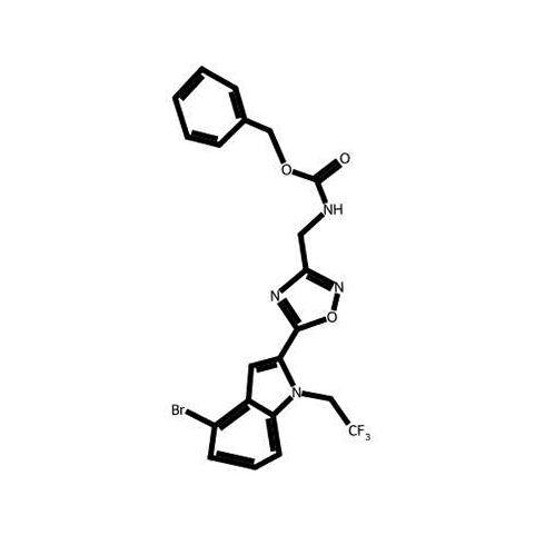 O=C(NCc1noc(-c2cc3c(Br)cccc3n2CC(F)(F)F)n1)OCc1ccccc1